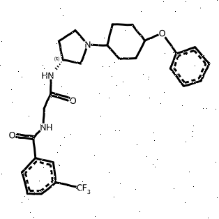 O=C(CNC(=O)c1cccc(C(F)(F)F)c1)N[C@@H]1CCN(C2CCC(Oc3ccccc3)CC2)C1